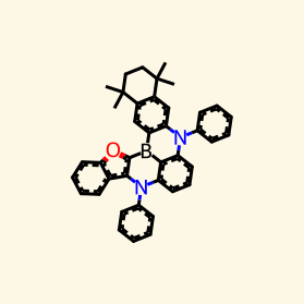 CC1(C)CCC(C)(C)c2cc3c(cc21)B1c2oc4ccccc4c2N(c2ccccc2)c2cccc(c21)N3c1ccccc1